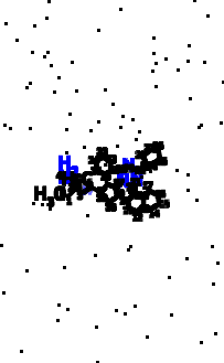 CCC(/C=C(\C)c1ccc(-c2ccc3ccccc3c2-c2nc(-c3ccccc3)nc(-c3ccccc3)n2)cc1)CN